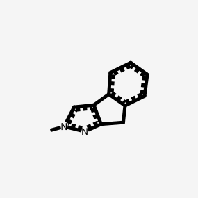 Cn1cc2c(n1)Cc1ccccc1-2